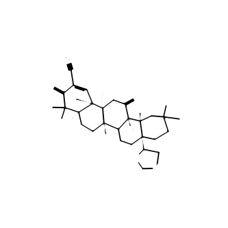 CC1(C)CC[C@]2(C3COCO3)CC[C@]3(C)[C@H](C(=O)C[C@@H]4[C@@]5(C)C=C(C#N)C(=O)C(C)(C)[C@@H]5CC[C@]43C)[C@@H]2C1